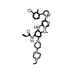 C=CC(=O)Nc1cc(Nc2cc(N3OCCC3c3cccc(Cl)c3C)ncn2)c(OC)cc1N1CCC(N2CCN(CC)CC2)CC1